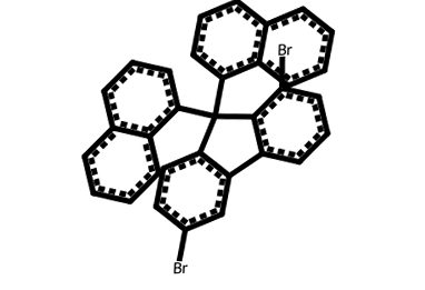 Brc1ccc2c(c1)-c1cccc(Br)c1C2(c1cccc2ccccc12)c1cccc2ccccc12